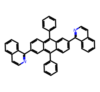 c1ccc(-c2c3ccc(-c4nccc5ccccc45)cc3c(-c3ccccc3)c3ccc(-c4nccc5ccccc45)cc23)cc1